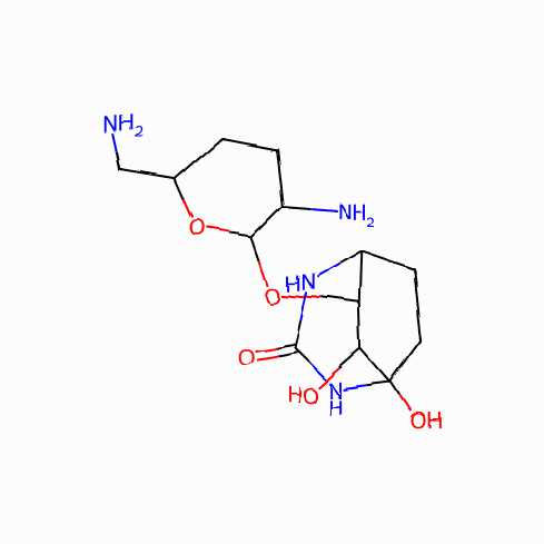 NCC1CCC(N)C(OC2C3CCC(O)(NC(=O)N3)C2O)O1